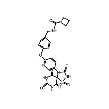 O=C1NC(=O)C2(C(=O)N1)N(c1ccc(Oc3ccc(CNC(=O)N4CCC4)cc3)nc1)C(=O)NS2(=O)=O